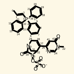 CC=C[P+](c1ccccc1)(c1ccccc1)c1ccccc1.Cn1cnc(C2=CCN3CC2N(OS(=O)(=O)[O-])C3=O)cc1=O